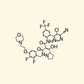 C[C@]12CCCN1N(Cc1ccc(OCCN3CCOCC3)c(F)c1F)C(=O)C(C(=O)Nc1ccc(C(F)(F)F)cc1-c1ncnc(C#N)c1Cl)=C2O